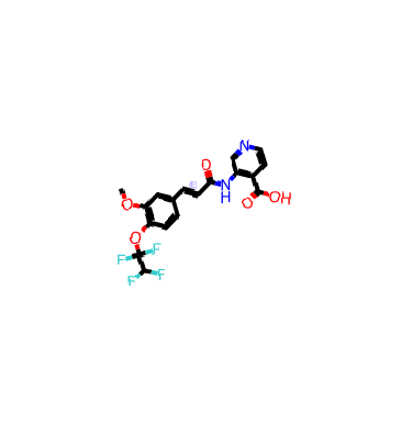 COc1cc(/C=C/C(=O)Nc2cnccc2C(=O)O)ccc1OC(F)(F)C(F)F